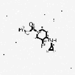 CC(C)OC(=O)N1CCC(NC2CC2)C(F)C1